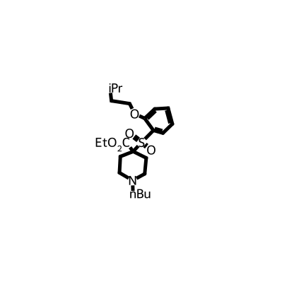 CCCCN1CCC(C(=O)OCC)(S(=O)(=O)c2ccccc2OCCC(C)C)CC1